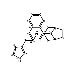 c1ccc2c(N3C4CCC3CC(NCCc3c[nH]cn3)C4)cccc2c1